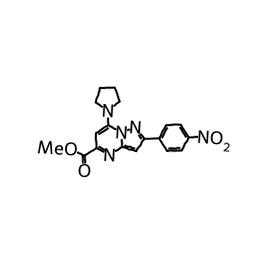 COC(=O)c1cc(N2CCCC2)n2nc(-c3ccc([N+](=O)[O-])cc3)cc2n1